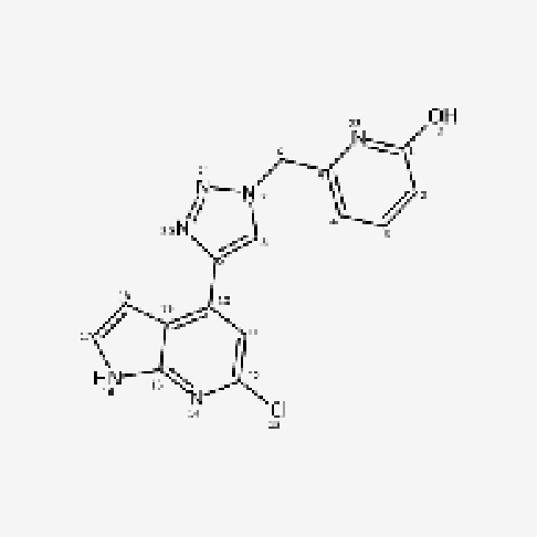 Oc1cccc(Cn2cc(-c3cc(Cl)nc4[nH]ccc34)nn2)n1